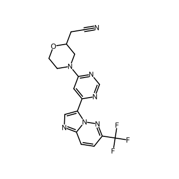 N#CCC1CN(c2cc(-c3cnc4ccc(C(F)(F)F)nn34)ncn2)CCO1